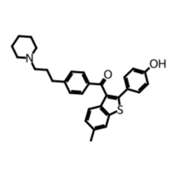 Cc1ccc2c(C(=O)c3ccc(CCCN4CCCCC4)cc3)c(-c3ccc(O)cc3)sc2c1